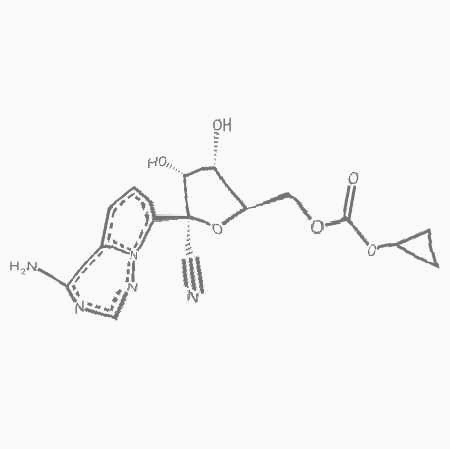 N#C[C@@]1(c2ccc3c(N)ncnn23)O[C@H](COC(=O)OC2CC2)[C@@H](O)[C@H]1O